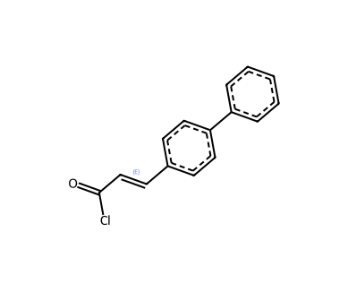 O=C(Cl)/C=C/c1ccc(-c2ccccc2)cc1